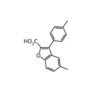 Cc1ccc(-c2c(C(=O)O)oc3ccc(C)cc23)cc1